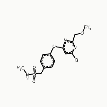 CNS(=O)(=O)Cc1ccc(Oc2cc(Cl)nc(COC)n2)cc1